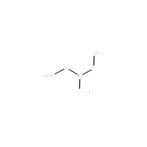 CCCCSN(SCCCC)C(=O)O